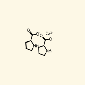 O=C([O-])[C@@H]1CCCN1.O=C([O-])[C@@H]1CCCN1.[Ca+2]